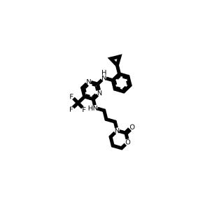 O=C1OCCCN1CCCNc1nc(Nc2ccccc2C2CC2)ncc1C(F)(F)F